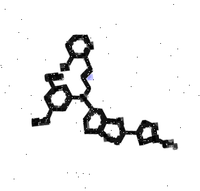 CCc1cccnc1/C=C/CN(c1cc(OC)cc(OC)c1)c1ccc2ncc(-c3cnn(C)c3)nc2c1